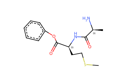 CSCC[C@H](NC(=O)[C@H](C)N)C(=O)Oc1ccccc1